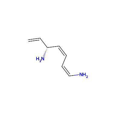 C=C[C@@H](N)/C=C\C=C/N